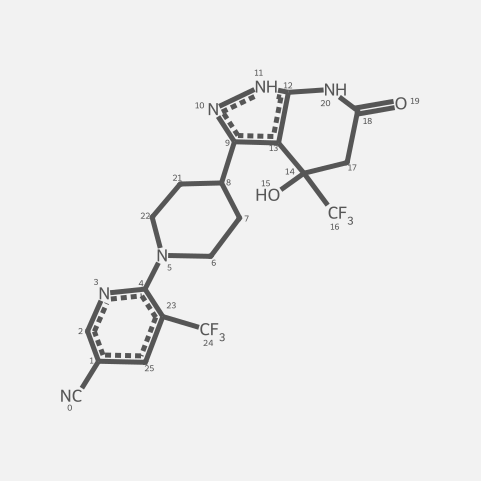 N#Cc1cnc(N2CCC(c3n[nH]c4c3C(O)(C(F)(F)F)CC(=O)N4)CC2)c(C(F)(F)F)c1